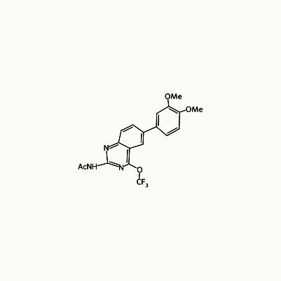 COc1ccc(-c2ccc3nc(NC(C)=O)nc(OC(F)(F)F)c3c2)cc1OC